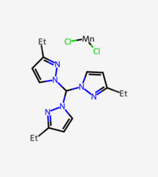 CCc1ccn(C(n2ccc(CC)n2)n2ccc(CC)n2)n1.[Cl][Mn][Cl]